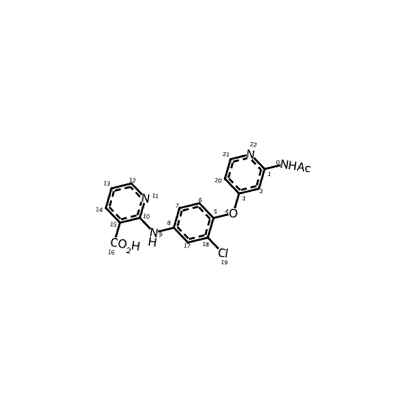 CC(=O)Nc1cc(Oc2ccc(Nc3ncccc3C(=O)O)cc2Cl)ccn1